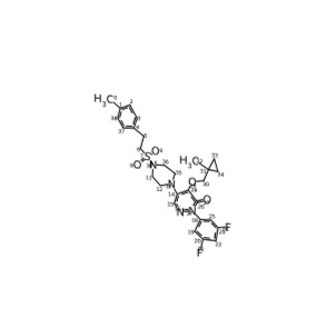 Cc1ccc(CCS(=O)(=O)N2CCN(c3cnn(-c4cc(F)cc(F)c4)c(=O)c3OCC3(C)CC3)CC2)cc1